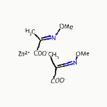 CO/N=C(\C)C(=O)[O-].CO/N=C(\C)C(=O)[O-].[Zn+2]